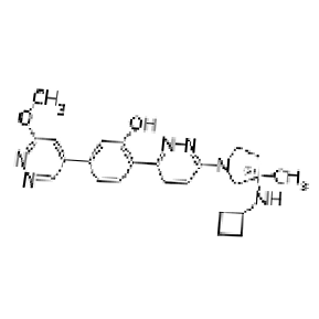 COc1cc(-c2ccc(-c3ccc(N4CC[C@](C)(NC5CCC5)C4)nn3)c(O)c2)cnn1